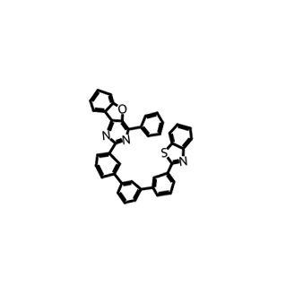 c1ccc(-c2nc(-c3cccc(-c4cccc(-c5cccc(-c6nc7ccccc7s6)c5)c4)c3)nc3c2oc2ccccc23)cc1